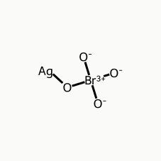 [O-][Br+3]([O-])([O-])[O][Ag]